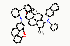 Cc1cc(N(c2ccccc2)c2ccc3ccccc3c2)c2ccc3c(C)cc(N(c4cc5ccc6cccc7oc(c4)c5c67)c4ccccc4-c4ccccc4)c4ccc1c2c34